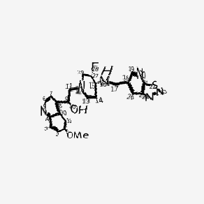 COc1ccc2nccc(C(O)CN3CC[C@@H](NCc4cnc5snnc5c4)[C@@H](F)C3)c2c1